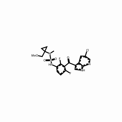 COCC1(N(C)S(=O)(=O)Nc2ccc(F)c(C(=O)c3c[nH]c4ncc(Cl)cc34)c2F)CC1